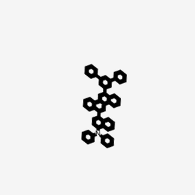 c1ccc(-c2cc(-c3ccccc3)cc(-c3cc4c5ccccc5c(-c5ccc(N(c6ccccc6)c6ccccc6)c6ccccc56)cc4c4ccccc34)c2)cc1